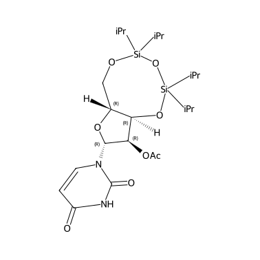 CC(=O)O[C@@H]1[C@@H]2O[Si](C(C)C)(C(C)C)O[Si](C(C)C)(C(C)C)OC[C@H]2O[C@H]1n1ccc(=O)[nH]c1=O